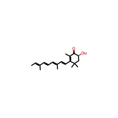 C/C=C(C)/C=C/C=C(C)/C=C/C1=C(C)C(=O)[C@@H](O)CC1(C)C